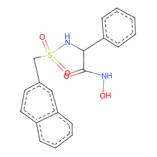 O=C(NO)C(NS(=O)(=O)Cc1ccc2ccccc2c1)c1ccccc1